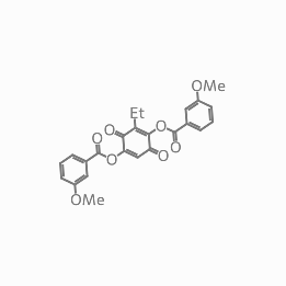 CCC1=C(OC(=O)c2cccc(OC)c2)C(=O)C=C(OC(=O)c2cccc(OC)c2)C1=O